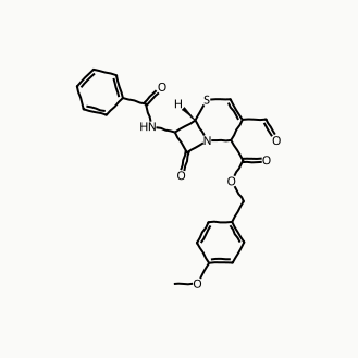 COc1ccc(COC(=O)C2C(C=O)=CS[C@H]3C(NC(=O)c4ccccc4)C(=O)N23)cc1